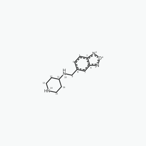 c1cc2nonc2cc1CNC1CCNCC1